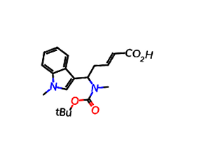 CN(C(=O)OC(C)(C)C)C(CC=CC(=O)O)c1cn(C)c2ccccc12